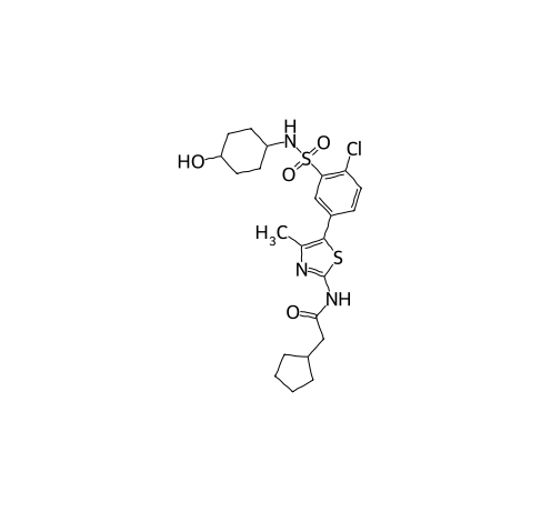 Cc1nc(NC(=O)CC2CCCC2)sc1-c1ccc(Cl)c(S(=O)(=O)NC2CCC(O)CC2)c1